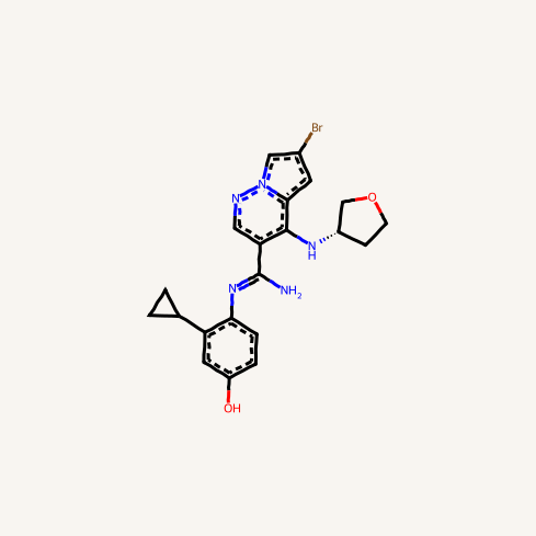 N/C(=N\c1ccc(O)cc1C1CC1)c1cnn2cc(Br)cc2c1N[C@H]1CCOC1